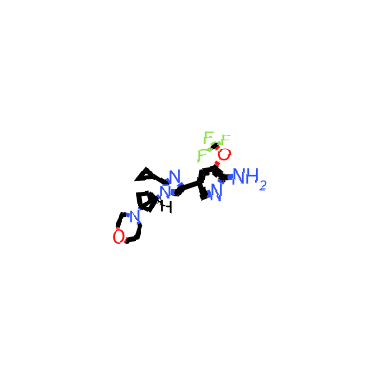 Nc1ncc(-c2cn([C@H]3CC4(N5CCCOCC5)CC3C4)c(C3CC3)n2)cc1OC(F)(F)F